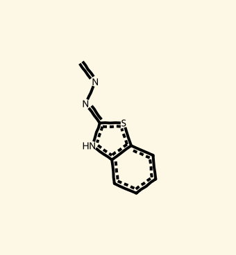 C=NN=c1[nH]c2ccccc2s1